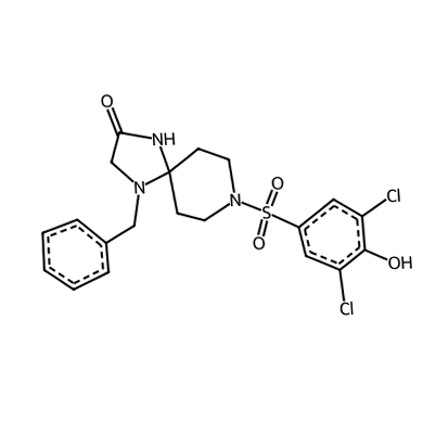 O=C1CN(Cc2ccccc2)C2(CCN(S(=O)(=O)c3cc(Cl)c(O)c(Cl)c3)CC2)N1